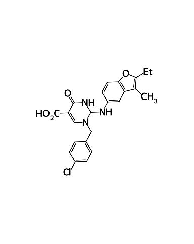 CCc1oc2ccc(NC3NC(=O)C(C(=O)O)=CN3Cc3ccc(Cl)cc3)cc2c1C